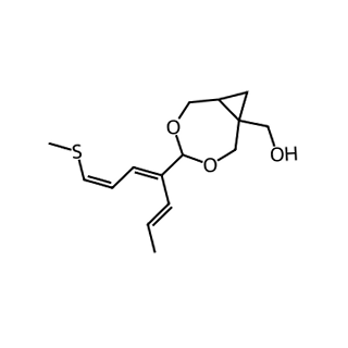 C/C=C/C(=C\C=C/SC)C1OCC2CC2(CO)CO1